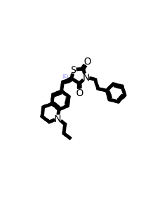 CCCN1CCCc2cc(/C=C3/SC(=O)N(CCc4ccccc4)C3=O)ccc21